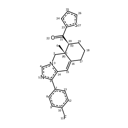 C[C@]12Cn3cnc(-c4ccc(F)cc4)c3C=C1CCC[C@@H]2C(=O)c1cccs1